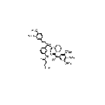 CC[C@H](C(=O)N1CCCC[C@H]1C(=O)O[C@H](CCc1ccc(OC)c(OC)c1)c1cccc(NC(=O)CCC=O)c1)c1cc(OC)c(OC)c(OC)c1